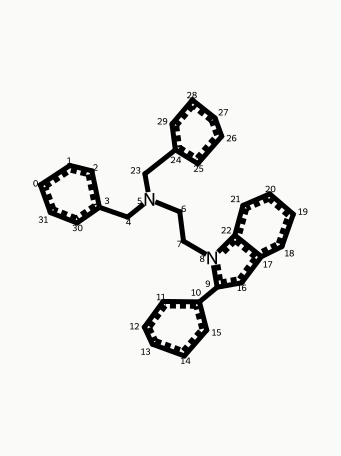 c1ccc(CN(CCn2c(-c3ccccc3)cc3ccccc32)Cc2ccccc2)cc1